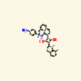 Cc1cccc2ccc(C3C(O)C(c4ccc5cccc(C)c5c4NC(C)(C)c4ccc(N)cc4)C3O)c(C)c12